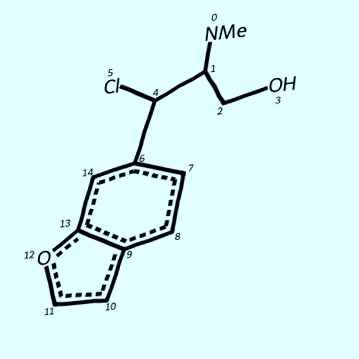 CNC(CO)C(Cl)c1ccc2ccoc2c1